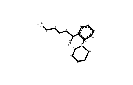 CCCCCC(N)c1ccccc1N1CCCCC1